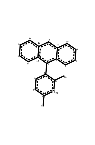 Cc1ccc(-c2c3ccccc3cc3ccccc23)c(C)n1